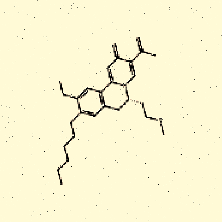 C=C(C)C1=CN2C(=CC1=C)c1cc(CC)c(CCCCCC)cc1C[C@H]2CCSC